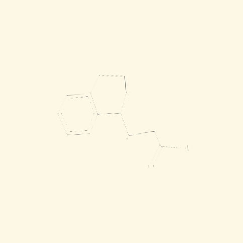 O=C(O)CCC1CCCc2ccccc21